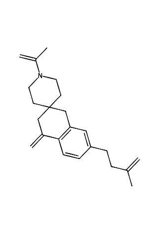 C=C(C)CCc1ccc2c(c1)CC1(CCN(C(=C)C)CC1)CC2=C